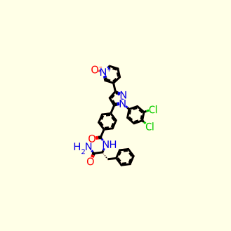 NC(=O)[C@@H](Cc1ccccc1)NC(=O)c1ccc(-c2cc(-c3ccc[n+]([O-])c3)nn2-c2ccc(Cl)c(Cl)c2)cc1